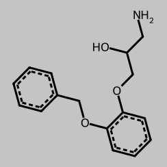 NCC(O)COc1ccccc1OCc1ccccc1